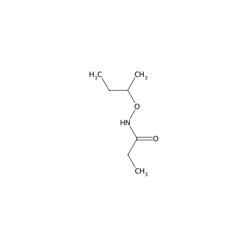 CCC(=O)NOC(C)CC